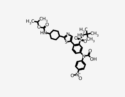 CC(C)OC(=O)NC1CCC(c2ncc(-c3ccc(N(C(=O)O)c4ccc([N+](=O)[O-])cc4)cc3S(=O)(=O)NC(C)(C)C)s2)CC1